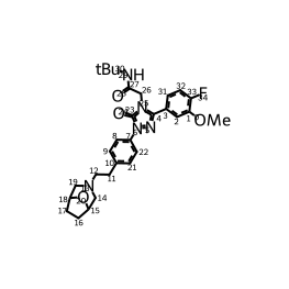 COc1cc(-c2nn(-c3ccc(CCN4CC5CCC(C4)O5)cc3)c(=O)n2CC(=O)NC(C)(C)C)ccc1F